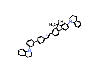 CC1(C)c2cc(/C=C/c3ccc(-c4cccc(N5CCCc6ccccc65)c4)cc3)ccc2-c2ccc(N3CCCc4ccccc43)cc21